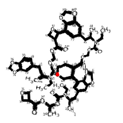 CCN(C(=O)OCOC(=O)C1CCOCC1c1cc(CC(C)N(CC)C(=O)OC(C)OC(=O)C2COC2)cc2c1OCO2)C(C)Cc1cc2c(c(C3OCC3C(=O)OCOC(=O)N(CC)C(C)Cc3ccc4c(c3)OCO4)c1)OCO2